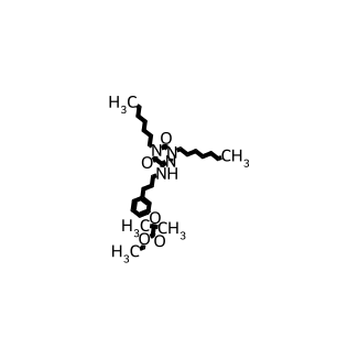 CCCCCCCn1nc(NCCCc2cccc(OC(C)(C)C(=O)OCC)c2)c(=O)n(CCCCCCC)c1=O